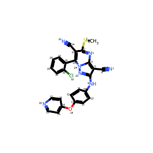 CSc1nc2c(C#N)c(Nc3ccc(Oc4ccncc4)cc3)nn2c(-c2ccccc2Cl)c1C#N